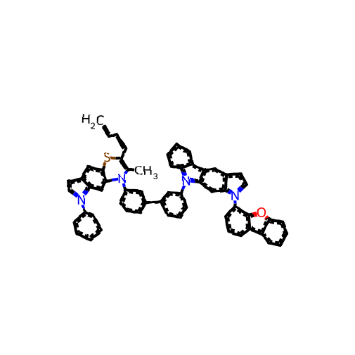 C=C/C=C\C1=C(C)N(c2cccc(-c3cccc(-n4c5ccccc5c5cc6ccn(-c7cccc8c7oc7ccccc78)c6cc54)c3)c2)c2cc3c(ccn3-c3ccccc3)cc2S1